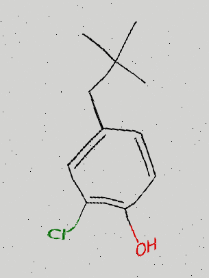 CC(C)(C)Cc1ccc(O)c(Cl)c1